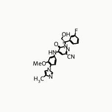 COc1cc(Nc2cc(C#N)nn([C@@H](CO)c3cccc(F)c3)c2=O)ccc1-n1cnc(C)c1